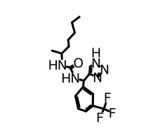 CCCCCC(C)NC(=O)NC(c1cccc(C(F)(F)F)c1)c1c[nH]nn1